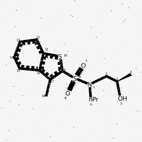 CCCN(C[C@@H](C)O)S(=O)(=O)c1sc2ccccc2c1C